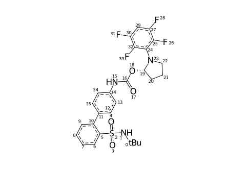 CC(C)(C)NS(=O)(=O)c1ccccc1-c1ccc(NC(=O)O[C@H]2CCCN2c2c(F)c(F)cc(F)c2F)cc1